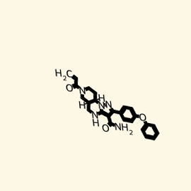 C=CC(=O)N1CC[C@@H]2[C@@H](CNc3c(C(N)=O)c(-c4ccc(Oc5ccccc5)cc4)nn32)C1